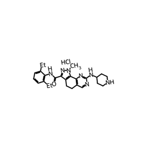 CCc1cccc(CC)c1NC(=O)c1nn(C)c2c1CCc1cnc(NC3CCNCC3)nc1-2.Cl